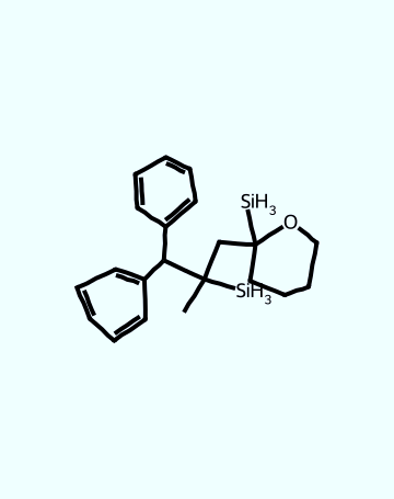 CC([SiH3])(CC1([SiH3])CCCCO1)C(c1ccccc1)c1ccccc1